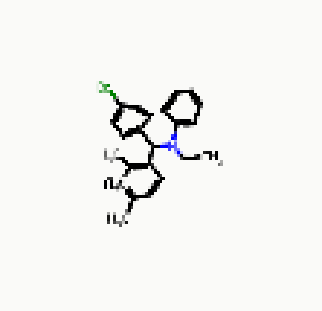 C=C(C)/C=C\C(=C(C)C)C(c1ccc(Br)cc1)N(CC)c1ccccc1